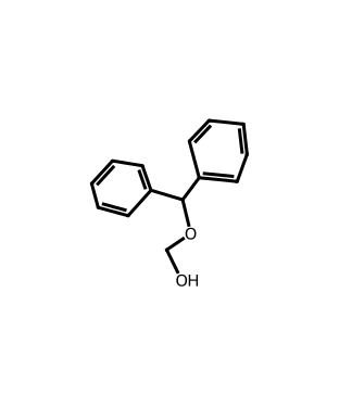 OCOC(c1ccccc1)c1ccccc1